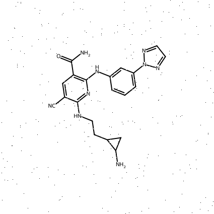 N#Cc1cc(C(N)=O)c(Nc2cccc(-n3nccn3)c2)nc1NCCC1CC1N